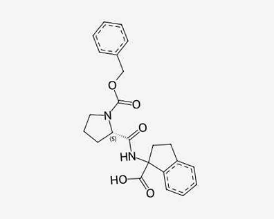 O=C(NC1(C(=O)O)CCc2ccccc21)[C@@H]1CCCN1C(=O)OCc1ccccc1